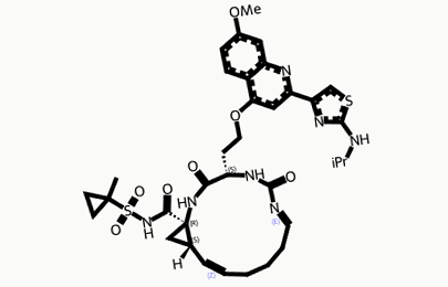 COc1ccc2c(OCC[C@@H]3NC(=O)/N=C/CCC/C=C\[C@@H]4C[C@@]4(C(=O)NS(=O)(=O)C4(C)CC4)NC3=O)cc(-c3csc(NC(C)C)n3)nc2c1